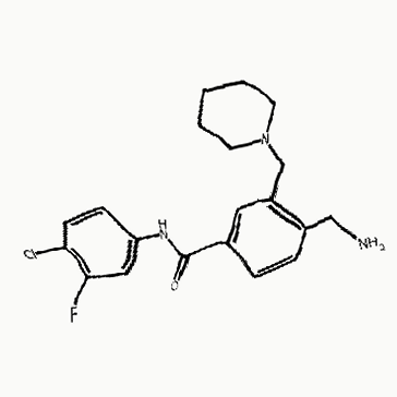 NCc1ccc(C(=O)Nc2ccc(Cl)c(F)c2)cc1CN1CCCCC1